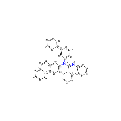 C1=CCC2C(=C1)c1ccccc1N=C2N(c1cccc(-c2ccccc2)c1)c1ccc2c(ccc3ccccc32)c1